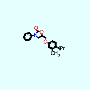 Cc1cc(OCC2CN(c3ccccc3)C(=O)O2)ccc1C(C)C